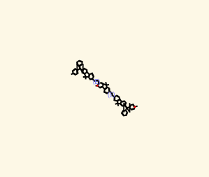 Cc1ccc(N(c2ccccc2)c2ccc3c(c2)C(C)(C)c2cc(/C=C/c4ccc5c(c4)C(C)(C)c4cc(/C=C/c6ccc7c(c6)C(C)(C)c6cc(N(c8ccccc8)c8ccc(C)cc8)ccc6-7)c(C)cc4-5)ccc2-3)cc1